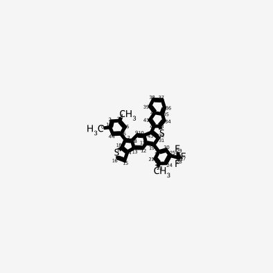 Cc1cc(C)cc(C2=c3cc4c(cc3-c3ccsc32)=C(c2cc(C)cc(C(F)(F)F)c2)c2sc3cc5ccccc5cc3c2-4)c1